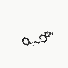 c1ccc(OCCN2CCC3(CC2)CNC3)cc1